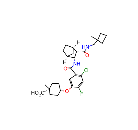 CC1(CNC(=O)[C@H]2[C@@H]3CC[C@@H](C3)[C@H]2NC(=O)c2cc(O[C@H]3CC[C@@](C)(C(=O)O)CC3)c(F)cc2Cl)CCC1